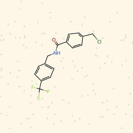 O=C(NCc1ccc(C(F)(F)F)cc1)c1ccc(CCl)cc1